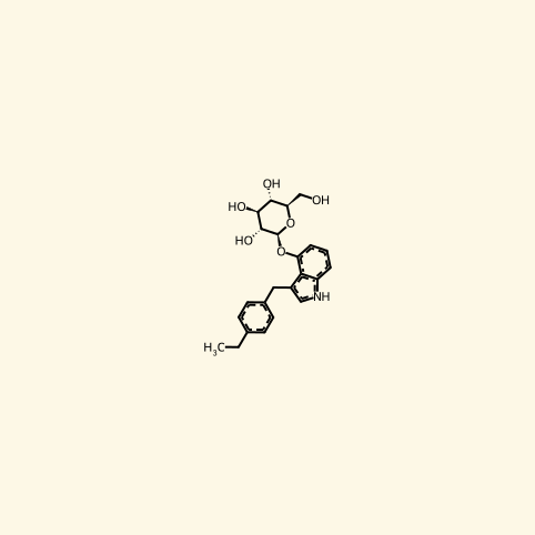 CCc1ccc(Cc2c[nH]c3cccc(O[C@@H]4O[C@H](CO)[C@@H](O)[C@H](O)[C@H]4O)c23)cc1